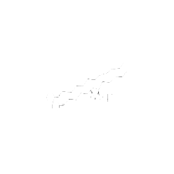 CCCCCCCCCCCC[O-].CCCCCCCCCCCC[O-].[Mg+2]